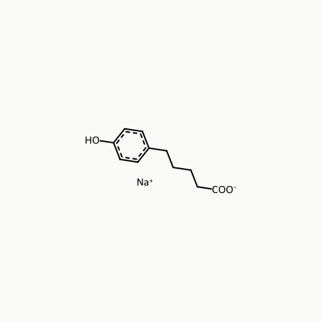 O=C([O-])CCCCc1ccc(O)cc1.[Na+]